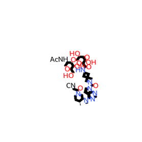 CC(=O)N[C@@H]1COC(CO)C(O)C1OC1OC(C(=O)NC2CC3(C2)CN(C(=O)n2ccc4c(N(C)[C@H]5CN(C(=O)CC#N)CC[C@H]5C)ncnc42)C3)[C@@]2(O)OC2C1O